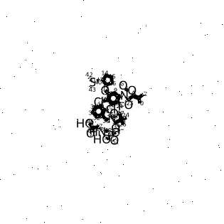 CC(C)=C1OC(=O)N(c2cc(OC3CCCC3)c(Cl)cc2F)C1=O.CC1(C)CON(Cc2ccccc2Cl)C1=O.C[S+](C)C.O=C(O)CNCP(=O)([O-])O